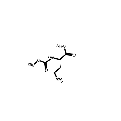 CNC(=O)[C@H](CCN)NC(=O)OC(C)(C)C